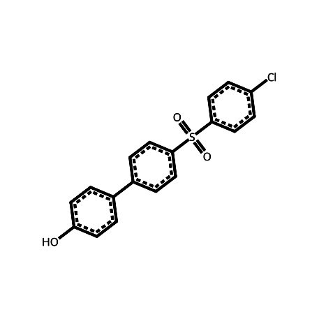 O=S(=O)(c1ccc(Cl)cc1)c1ccc(-c2ccc(O)cc2)cc1